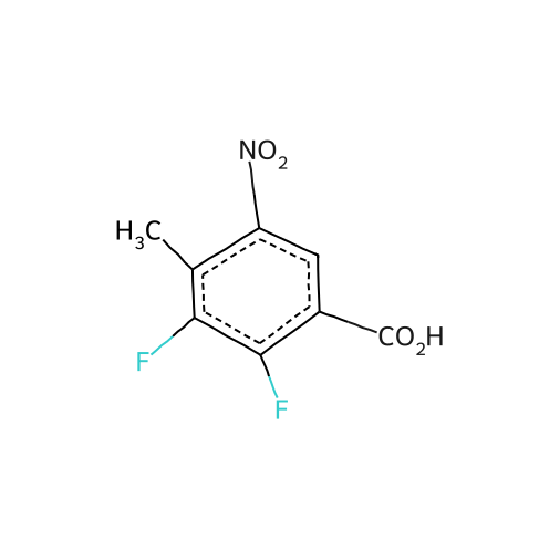 Cc1c([N+](=O)[O-])cc(C(=O)O)c(F)c1F